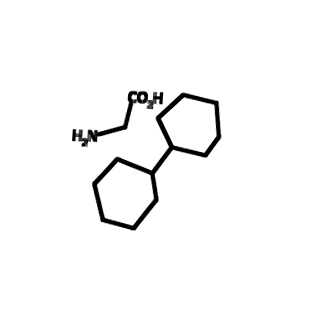 C1CCC(C2CCCCC2)CC1.NCC(=O)O